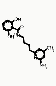 Cc1cc(N)nc(CCCCNC(=O)c2c(O)cccc2O)c1